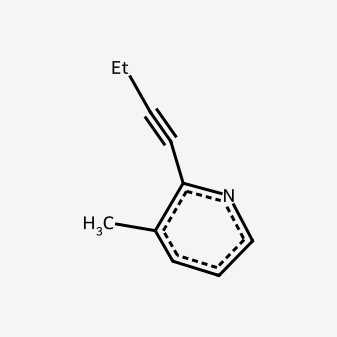 CCC#Cc1ncccc1C